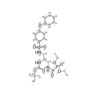 CCOP(=O)(OCC)C(=O)NCC(CNS(=O)(=O)c1ccc(Oc2ccccc2)cc1)NC(=O)OC(C)(C)C